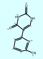 N#Cc1cccc(-c2c[nH]c(=O)[nH]c2=O)n1